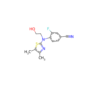 Cc1nc(N(CCO)c2ccc(C#N)cc2F)sc1C